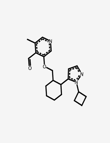 Cc1cncc(OCC2CCCCC2c2ccnn2C2CCC2)c1C=O